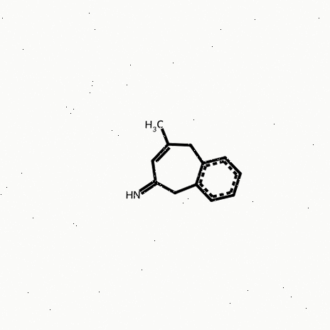 CC1=CC(=N)Cc2ccccc2C1